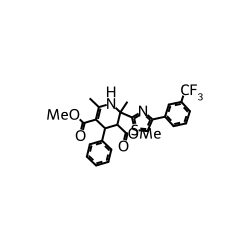 COC(=O)C1=C(C)NC(C)(c2nc(-c3cccc(C(F)(F)F)c3)cs2)C(C(=O)OC)C1c1ccccc1